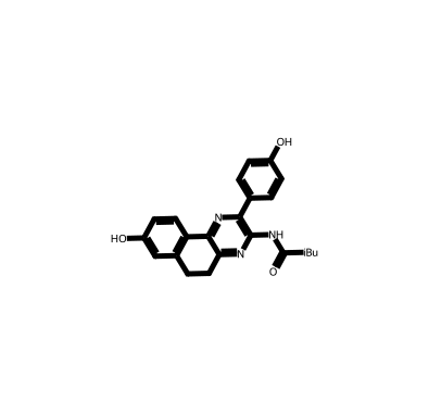 CCC(C)C(=O)Nc1nc2c(nc1-c1ccc(O)cc1)-c1ccc(O)cc1CC2